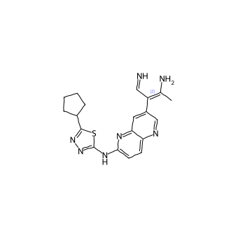 C/C(N)=C(/C=N)c1cnc2ccc(Nc3nnc(C4CCCC4)s3)nc2c1